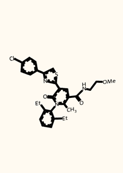 CCc1cccc(CC)c1-n1c(C)c(C(=O)NCCOC)cc(-c2nc(-c3ccc(Cl)cc3)cs2)c1=O